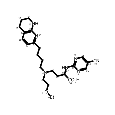 CCOCCN(CCCCc1ccc2c(n1)NCCC2)CCC(Nc1ncc(C#N)cn1)C(=O)O